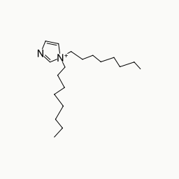 CCCCCCCC[N+]1(CCCCCCCC)C=CN=C1